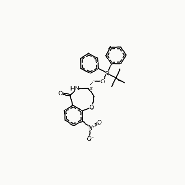 CC(C)(C)[Si](OC[C@@H]1COc2c(cccc2[N+](=O)[O-])C(=O)N1)(c1ccccc1)c1ccccc1